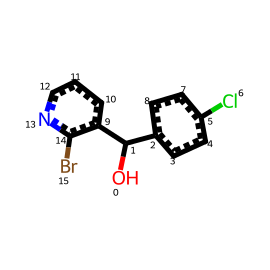 OC(c1ccc(Cl)cc1)c1cccnc1Br